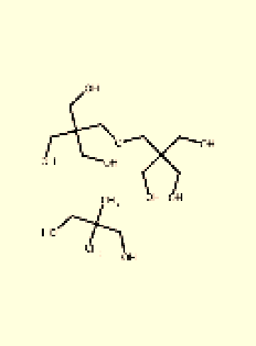 CC(C)(CO)CO.OCC(CO)(CO)COCC(CO)(CO)CO